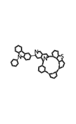 c1ccc(-n2c3ccccc3c3cc(-c4cc5c(cn4)cc4nc5c5cccc(c5)c5cccc(c5)c5ccc6sc7cccc4c7c6c5)ccc32)cc1